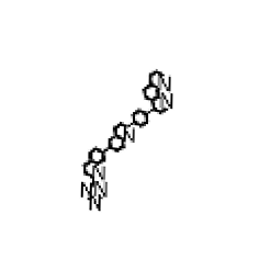 c1cnc2c(c1)ccc1c(-c3ccc(-c4ccc5cc(-c6ccc7ccc(-c8ncncn8)nc7c6)ccc5n4)cc3)ccnc12